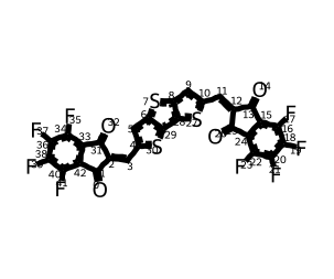 O=C1C(=Cc2cc3sc4cc(C=C5C(=O)c6c(F)c(F)c(F)c(F)c6C5=O)sc4c3s2)C(=O)c2c(F)c(F)c(F)c(F)c21